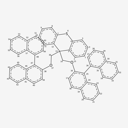 c1ccc2c(c1)Sc1ccccc1C2(COc1ccc2ccccc2c1-c1cccc2ccccc12)COc1ccc2ccccc2c1-c1cccc2ccccc12